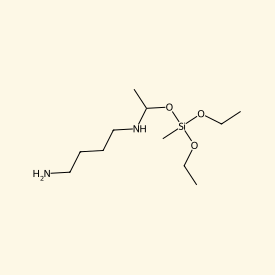 CCO[Si](C)(OCC)OC(C)NCCCCN